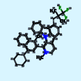 Cc1c(-c2c3c(cc[n+]2C)c2ccc(CC(C)(C)C(F)(F)F)c4c5ccccc5n3c24)cc(C2CCCCC2)c2ccccc12